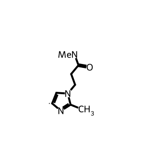 CNC(=O)CCn1c[c]nc1C